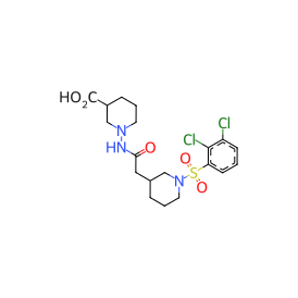 O=C(CC1CCCN(S(=O)(=O)c2cccc(Cl)c2Cl)C1)NN1CCCC(C(=O)O)C1